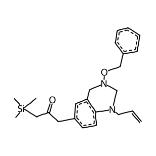 C=CCN1CN(OCc2ccccc2)Cc2cc(CC(=O)C[Si](C)(C)C)ccc21